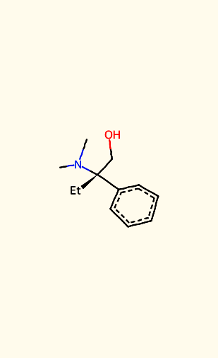 CC[C@@](CO)(c1ccccc1)N(C)C